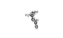 CC(Oc1ccc(-c2ccnc(Nc3ccc(N4CCOCC4)cc3)n2)cc1N)C(=O)O